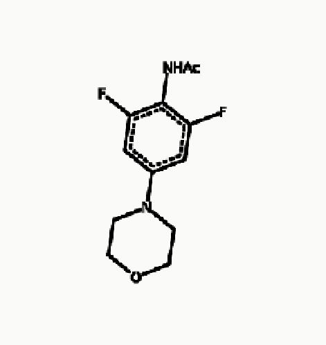 CC(=O)Nc1c(F)cc(N2CCOCC2)cc1F